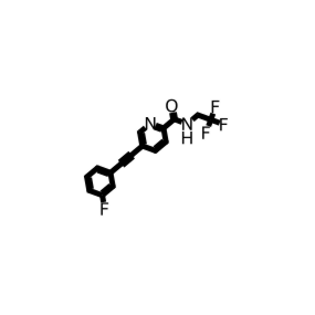 O=C(NCC(F)(F)F)c1ccc(C#Cc2cccc(F)c2)cn1